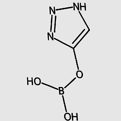 OB(O)Oc1c[nH]nn1